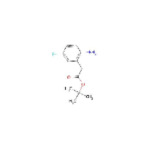 CC(C)(C)OC(=O)Cc1cc(F)ccc1N